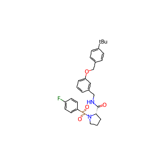 CC(C)(C)c1ccc(COc2cccc(CNC(=O)[C@@H]3CCCN3S(=O)(=O)c3ccc(F)cc3)c2)cc1